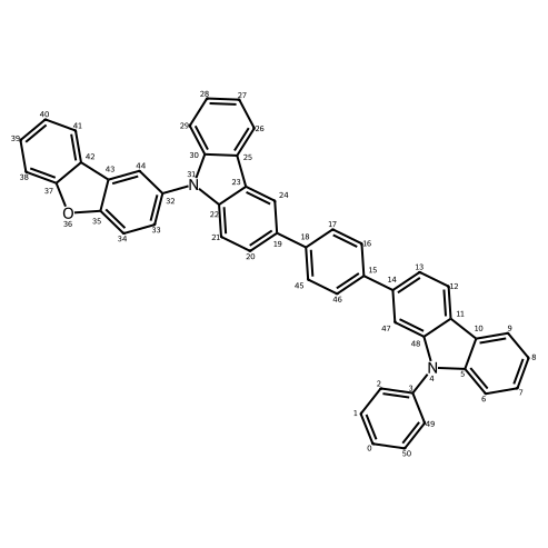 c1ccc(-n2c3ccccc3c3ccc(-c4ccc(-c5ccc6c(c5)c5ccccc5n6-c5ccc6oc7ccccc7c6c5)cc4)cc32)cc1